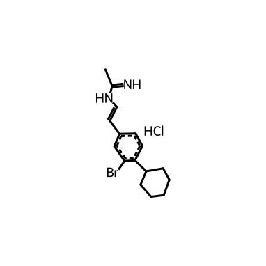 CC(=N)N/C=C/c1ccc(C2CCCCC2)c(Br)c1.Cl